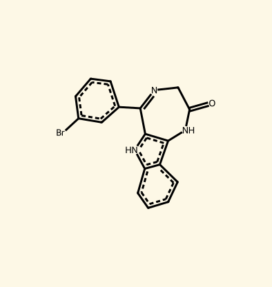 O=C1CN=C(c2cccc(Br)c2)c2[nH]c3ccccc3c2N1